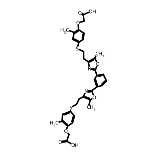 Cc1cc(SCCc2nc(-c3cccc(-c4nc(CCSc5ccc(OCC(=O)O)c(C)c5)c(C)o4)c3)oc2C)ccc1OCC(=O)O